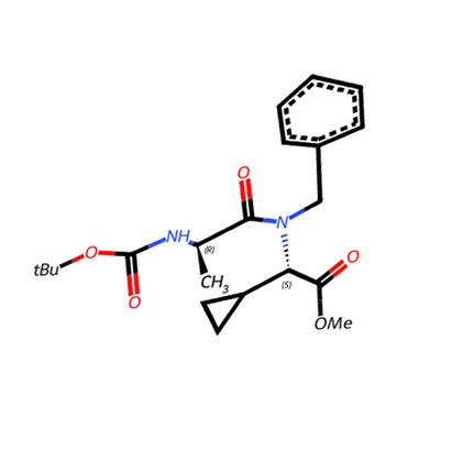 COC(=O)[C@H](C1CC1)N(Cc1ccccc1)C(=O)[C@@H](C)NC(=O)OC(C)(C)C